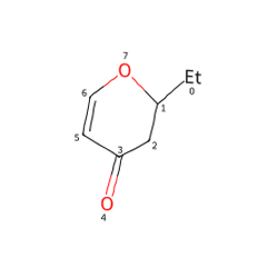 CCC1CC(=O)C=CO1